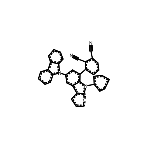 N#Cc1cccc(-c2cc(-n3c4ccccc4c4ccccc43)cc3c4ccccc4n(-c4ccccc4)c23)c1C#N